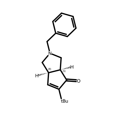 CC(C)(C)C1=C[C@H]2CN(Cc3ccccc3)C[C@H]2C1=O